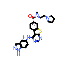 CN(CCN1CCCC1)C(=O)[C@H]1CCc2c(sc3ncnc(Nc4ccc5[nH]ncc5c4)c23)C1